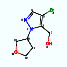 OCc1c(Br)cnn1C1CCOC1